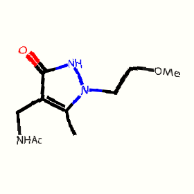 COCCn1[nH]c(=O)c(CNC(C)=O)c1C